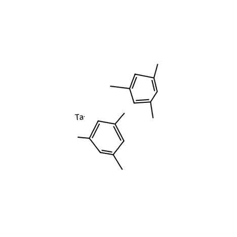 Cc1cc(C)cc(C)c1.Cc1cc(C)cc(C)c1.[Ta]